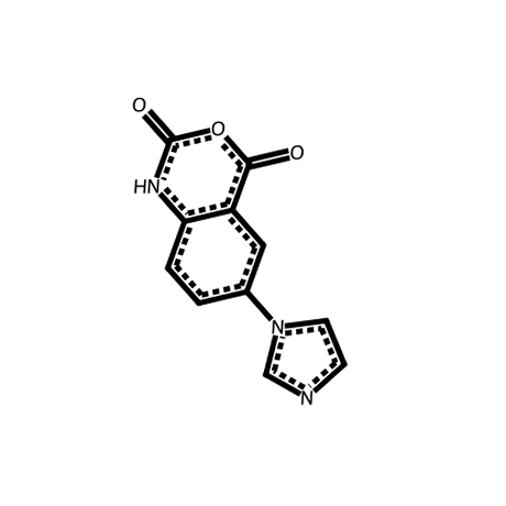 O=c1[nH]c2ccc(-n3ccnc3)cc2c(=O)o1